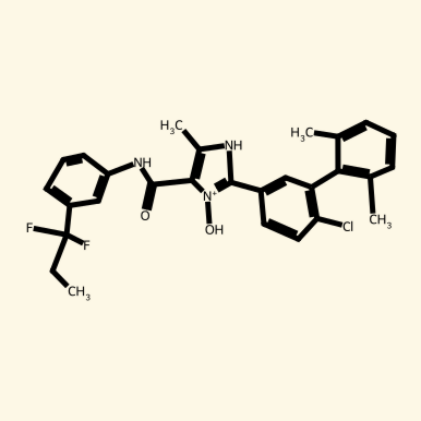 CCC(F)(F)c1cccc(NC(=O)c2c(C)[nH]c(-c3ccc(Cl)c(-c4c(C)cccc4C)c3)[n+]2O)c1